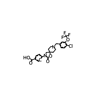 O=C(O)c1ccc(N2CC3(CCN(Cc4ccc(Cl)c(OC(F)(F)F)c4)CC3)OC2=O)cc1